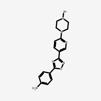 CC(C)N1CCN(c2ccc(-c3noc(-c4ccc(N)cc4)n3)cn2)CC1